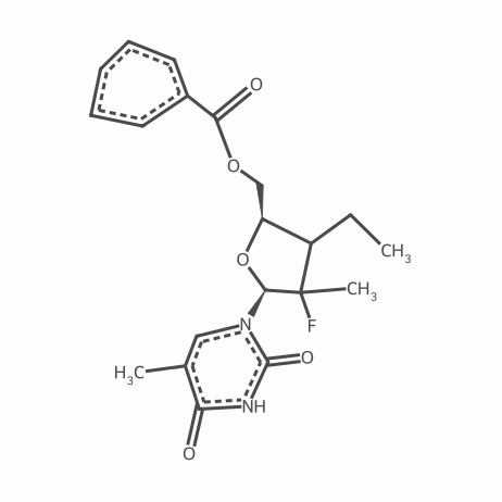 CCC1[C@H](COC(=O)c2ccccc2)O[C@H](n2cc(C)c(=O)[nH]c2=O)C1(C)F